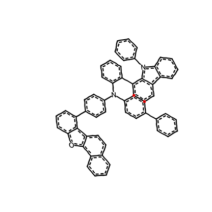 c1ccc(-c2ccc(N(c3ccc(-c4cccc5oc6c7ccccc7ccc6c45)cc3)c3ccccc3-c3cccc4c5ccccc5n(-c5ccccc5)c34)cc2)cc1